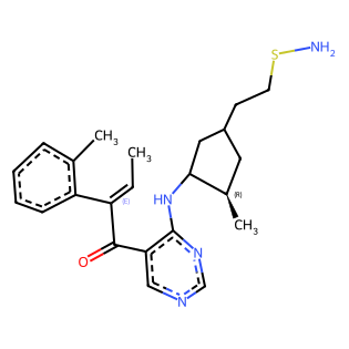 C/C=C(/C(=O)c1cncnc1NC1CC(CCSN)C[C@H]1C)c1ccccc1C